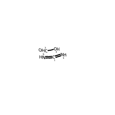 N=C=N.O=CO